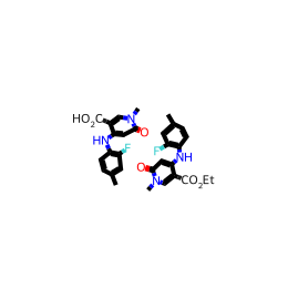 CCOC(=O)c1cn(C)c(=O)cc1Nc1ccc(C)cc1F.Cc1ccc(Nc2cc(=O)n(C)cc2C(=O)O)c(F)c1